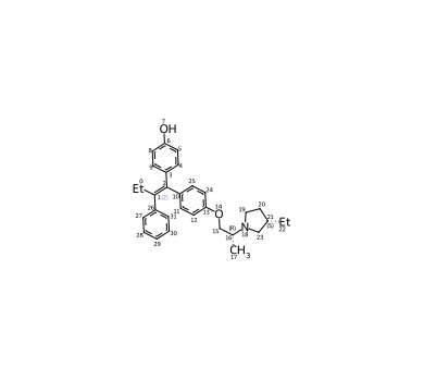 CC/C(=C(\c1ccc(O)cc1)c1ccc(OC[C@@H](C)N2CC[C@H](CC)C2)cc1)c1ccccc1